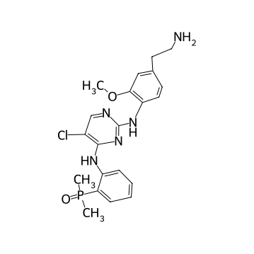 COc1cc(CCN)ccc1Nc1ncc(Cl)c(Nc2ccccc2P(C)(C)=O)n1